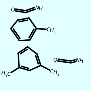 Cc1cccc(C)c1.Cc1ccccc1.N=C=O.N=C=O